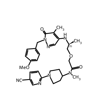 COc1ccc(Cn2ncc(N[C@@H](C)COCC(=O)N(C)C3CCN(c4ccc(C#N)cn4)CC3)c(C)c2=O)cc1